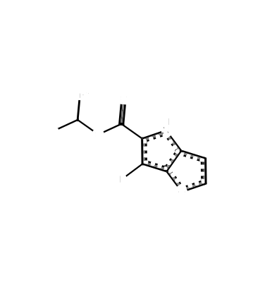 CCC(OC(=O)c1[nH]c2ccoc2c1F)C(C)C